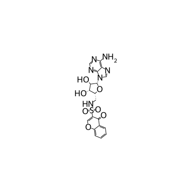 Nc1ncnc2c1ncn2[C@@H]1O[C@H](CNS(=O)(=O)c2coc3ccccc3c2=O)[C@H](O)C1O